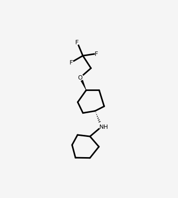 FC(F)(F)CO[C@H]1CC[C@H](NC2CCCCC2)CC1